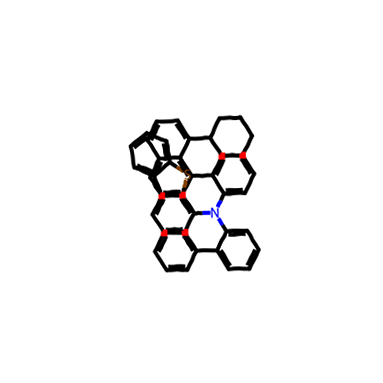 c1ccc(-c2ccccc2N(c2ccccc2-c2cccc3cccc(C4CCCCC4)c23)c2cccc3c2sc2ccccc23)cc1